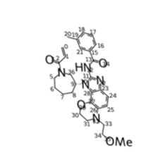 C=CC(=O)N1CCCC[C@@H](n2c(NC(=O)c3cccc(C)c3)nc3ccc4c(c32)OCCN4CCOC)C1